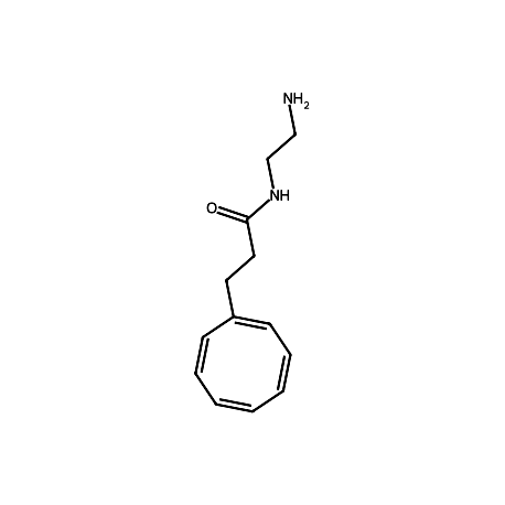 NCCNC(=O)CCC1=C/C=C\C=C/C=C\1